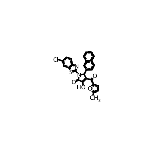 Cc1ccc(C(=O)C2=C(O)C(=O)N(c3nc4ccc(Cl)cc4s3)C2c2ccc3ccccc3c2)o1